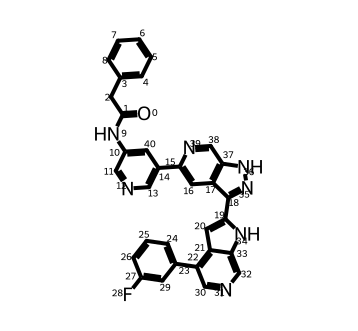 O=C(Cc1ccccc1)Nc1cncc(-c2cc3c(-c4cc5c(-c6cccc(F)c6)cncc5[nH]4)n[nH]c3cn2)c1